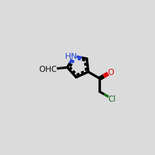 O=Cc1cc(C(=O)CCl)c[nH]1